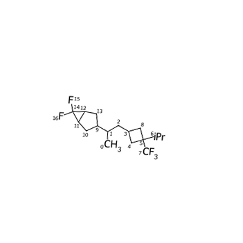 CC(CC1CC(C(C)C)(C(F)(F)F)C1)C1CC2C(C1)C2(F)F